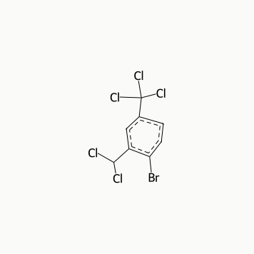 ClC(Cl)c1cc(C(Cl)(Cl)Cl)ccc1Br